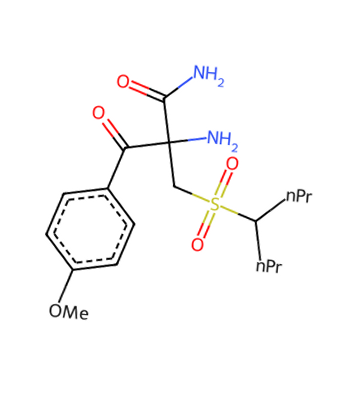 CCCC(CCC)S(=O)(=O)CC(N)(C(N)=O)C(=O)c1ccc(OC)cc1